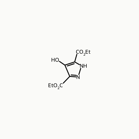 CCOC(=O)c1n[nH]c(C(=O)OCC)c1O